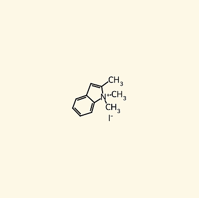 CC1=Cc2ccccc2[N+]1(C)C.[I-]